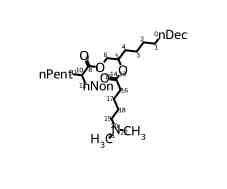 CCCCCCCCCCCCCCC(COC(=O)C(CCCCC)CCCCCCCCC)OC(=O)CCCCN(C)C